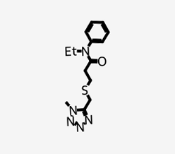 CCN(C(=O)CCSCc1nnnn1C)c1ccccc1